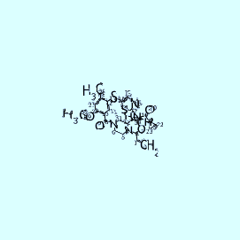 C=CC(=O)N1CCN(C(=O)c2cc(Sc3cnc(NC(=O)C4CC4)s3)c(C)cc2OC)C[C@H]1CC